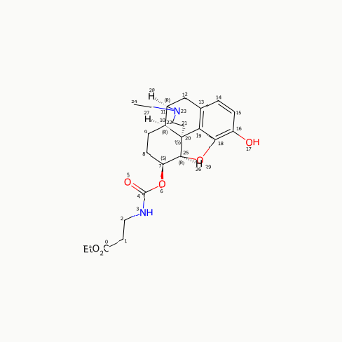 CCOC(=O)CCNC(=O)O[C@H]1CC[C@H]2[C@H]3Cc4ccc(O)c5c4[C@@]2(CCN3C)[C@H]1O5